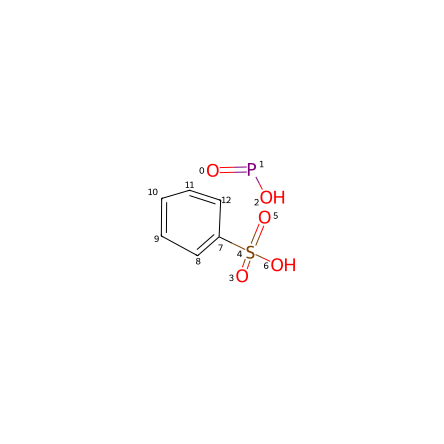 O=PO.O=S(=O)(O)c1ccccc1